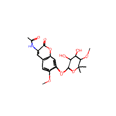 COc1cc2cc(NC(C)=O)c(=O)oc2cc1OC1OC(C)(C)C(OC)C(O)C1O